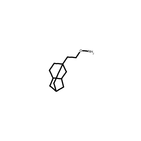 NOCCC12CCC3CC(CC3C1)C2